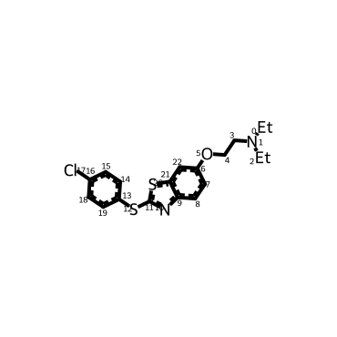 CCN(CC)CCOc1ccc2nc(Sc3ccc(Cl)cc3)sc2c1